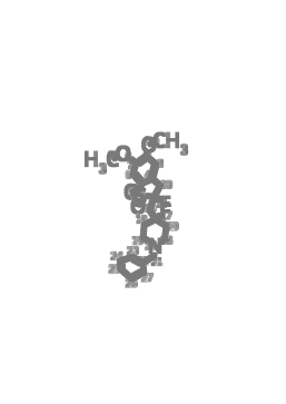 COc1cc2c(cc1OC)S(=O)(=O)C(F)(CC1(F)CCN(Cc3ccccc3)CC1)C2